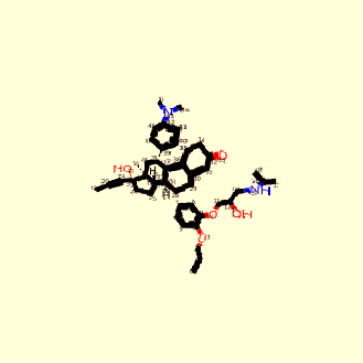 C=CCOc1ccccc1OCC(O)CNC(C)C.CC#C[C@]1(O)CC[C@H]2[C@@H]3CCC4=CC(=O)CCC4=C3[C@@H](c3ccc(N(C)C)cc3)C[C@@]21C